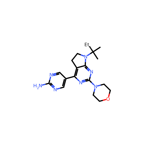 CCC(C)(C)N1CCc2c(-c3cnc(N)nc3)nc(N3CCOCC3)nc21